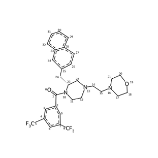 O=C(c1cc(C(F)(F)F)cc(C(F)(F)F)c1)N1CCN(CCN2CCOCC2)C[C@H]1Cc1ccc2ccccc2c1